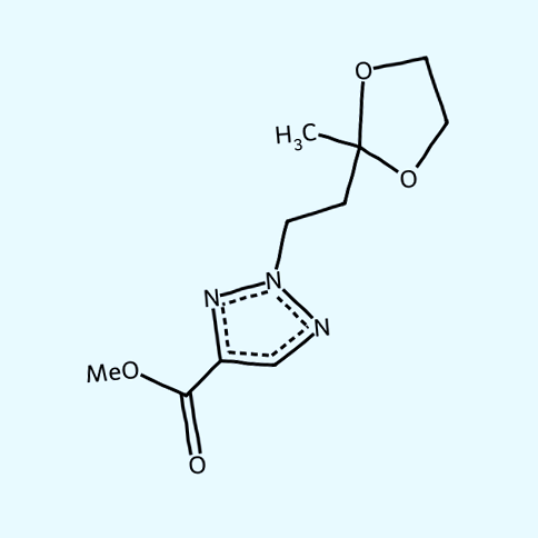 COC(=O)c1cnn(CCC2(C)OCCO2)n1